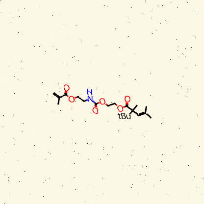 C=C(C)C(=O)OCCNC(=O)OCCOC(=O)C(C)(C=C(C)C)C(C)(C)C